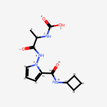 CC(NC(=O)O)C(=O)Nn1cccc1C(=O)NC1CCC1